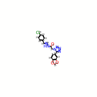 O=C(Cn1nnnc1-c1ccc2c(c1)OCO2)NN=Cc1ccc(Cl)cc1